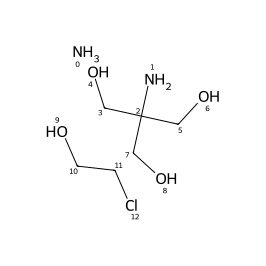 N.NC(CO)(CO)CO.OCCCl